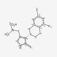 CN(Cc1c[nH]c(=S)n1[C@H]1CCc2c(F)cc(F)cc2C1)C(=O)O